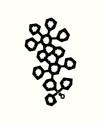 O=P(c1ccccc1)(c1ccccc1)c1cccc(-c2cc(-c3ccccc3)c3c4cccc5c6c(-c7ccccc7)c(-c7ccccc7)c(-c7ccccc7)c(-c7ccccc7)c6c6cccc(c3c2-c2ccccc2)c6c45)c1